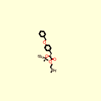 CBCCOC(=O)[C@H](Cc1ccc(OCc2ccccc2)cc1)O[Si](C)(C)C(C)(C)C